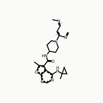 C=N/C(=C\C=N/C)N1CCC(NC(=O)c2c(C)oc3ncnc(NC4(C)CC4)c23)CC1